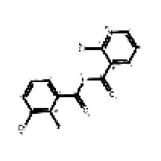 CCc1cccc(C(=O)OC(=O)c2cccnc2Cl)c1C